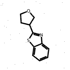 c1ccc2sc(C3CCOC3)nc2c1